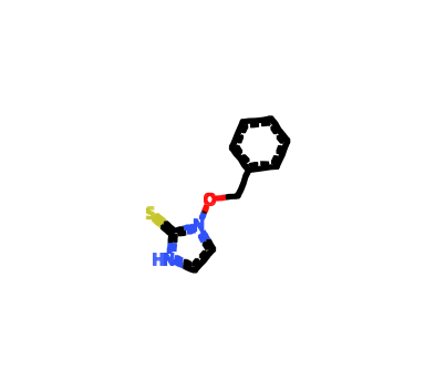 S=c1[nH]ccn1OCc1ccccc1